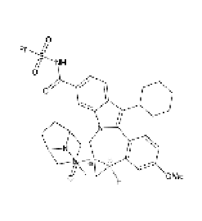 COc1ccc2c(c1)[C@H]1C[C@@]1(C(=O)N1C3CCC1CN(C)C3)Cn1c-2c(C2CCCCC2)c2ccc(C(=O)NS(=O)(=O)C(C)C)cc21